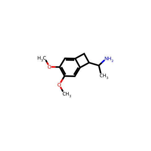 COc1cc2c(cc1OC)C(C(C)N)C2